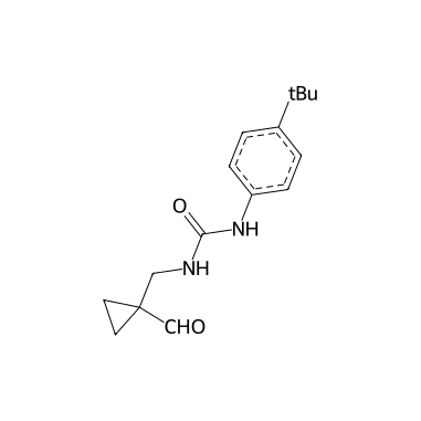 CC(C)(C)c1ccc(NC(=O)NCC2(C=O)CC2)cc1